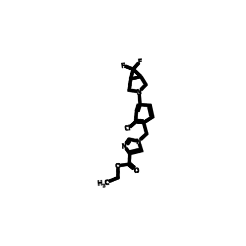 CCOC(=O)c1cn(Cc2ccc(N3CC4C(C3)C4(F)F)cc2Cl)cn1